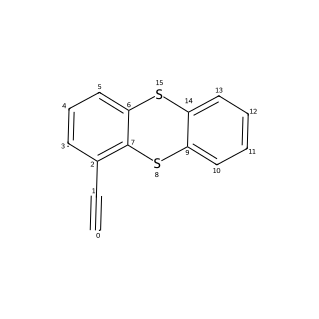 [C]#Cc1[c]ccc2c1Sc1ccccc1S2